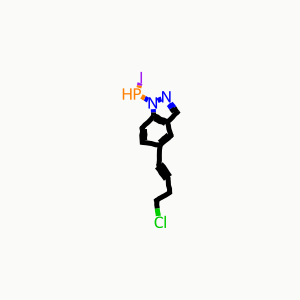 ClCCC#Cc1ccc2c(cnn2PI)c1